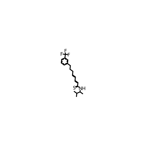 CC(C)C(C)NC(=S)C=CC=CCCCc1cccc(C(F)(F)F)c1